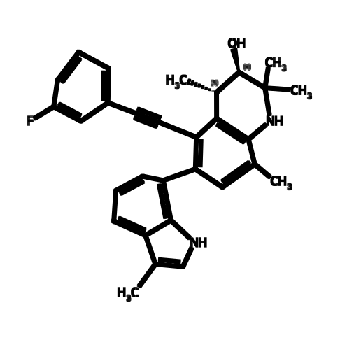 Cc1cc(-c2cccc3c(C)c[nH]c23)c(C#Cc2cccc(F)c2)c2c1NC(C)(C)[C@H](O)[C@H]2C